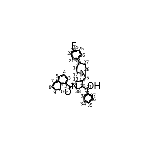 O=C(c1cccc2ccccc12)N1CC(CN2CCC(c3ccc(F)cc3)CC2)C(C(O)c2ccccc2)C1